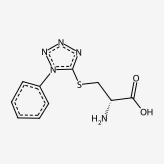 N[C@H](CSc1nnnn1-c1ccccc1)C(=O)O